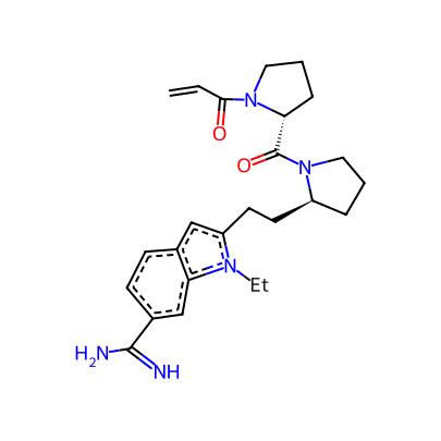 C=CC(=O)N1CCC[C@@H]1C(=O)N1CCC[C@H]1CCc1cc2ccc(C(=N)N)cc2n1CC